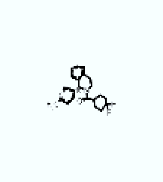 O=C(C1CCC(F)(F)CC1)N1CCc2ccccc2[C@H]1c1ccc(C(F)(F)F)cc1